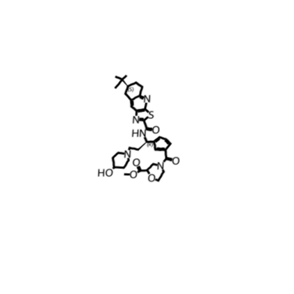 COC(=O)C1CN(C(=O)c2cccc([C@@H](CCN3CCC(O)CC3)NC(=O)c3nc4cc5c(nc4s3)CC[C@H](C(C)(C)C)C5)c2)CCO1